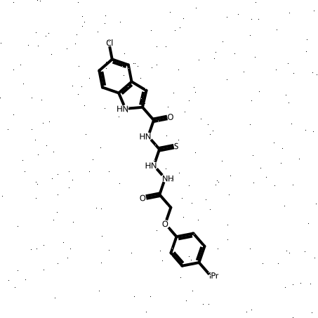 CC(C)c1ccc(OCC(=O)NNC(=S)NC(=O)c2cc3cc(Cl)ccc3[nH]2)cc1